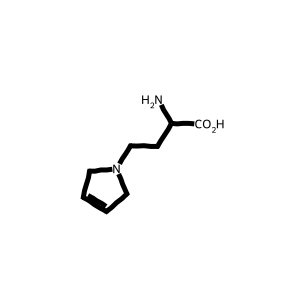 NC(CCN1CC=CC1)C(=O)O